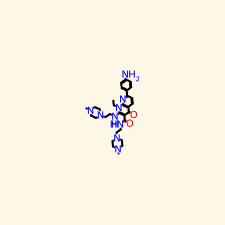 CCn1c(NCCN2CCN(C)CC2)c(C(=O)NCCN2CCN(C)CC2)c(=O)c2ccc(-c3ccc(N)cc3)nc21